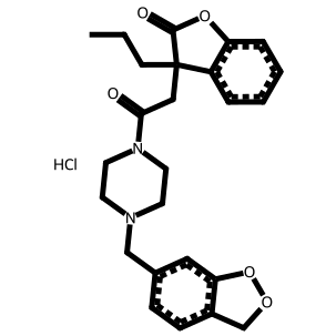 CCCC1(CC(=O)N2CCN(Cc3ccc4c(c3)OOC4)CC2)C(=O)Oc2ccccc21.Cl